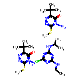 CCNc1nc(Cl)nc(NC(C)C)n1.CSc1nnc(C(C)(C)C)c(=O)n1N.CSc1nnc(C(C)(C)C)c(=O)n1N